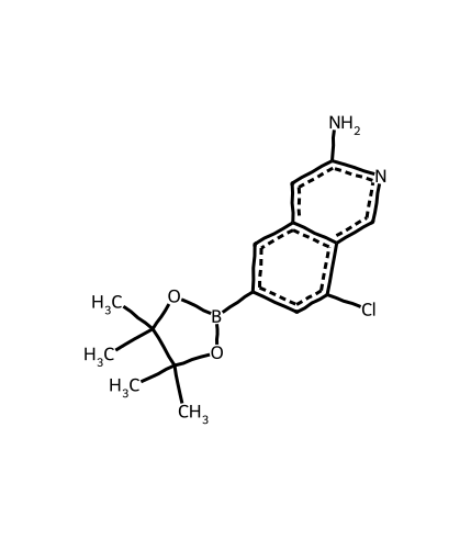 CC1(C)OB(c2cc(Cl)c3cnc(N)cc3c2)OC1(C)C